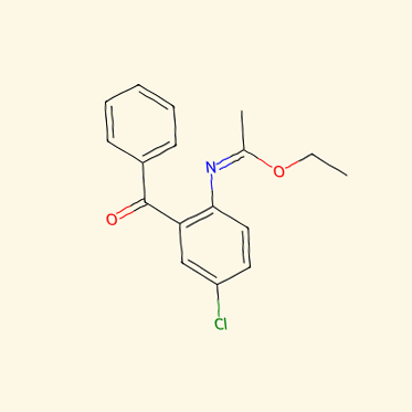 CCOC(C)=Nc1ccc(Cl)cc1C(=O)c1ccccc1